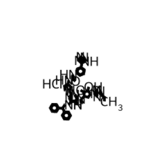 CCc1nnn(C2CC(n3cnc4c(NCC(c5ccccc5)c5ccccc5)nc(N5CCC(NC(=O)Nc6cccc(-c7nnn[nH]7)c6)C5)nc43)C(O)C2O)n1.Cl